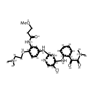 COCCC(=O)Nc1cc(Nc2ncc(Cl)c(Nc3ccccc3C(=O)C(=O)N(C)C)n2)ccc1OCCN(C)C